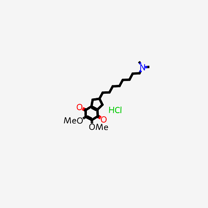 COC1=C(OC)C(=O)C2=C(CC(CCCCCCCCN(C)C)C2)C1=O.Cl